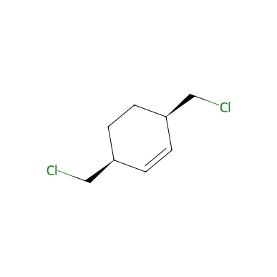 ClC[C@H]1C=C[C@@H](CCl)CC1